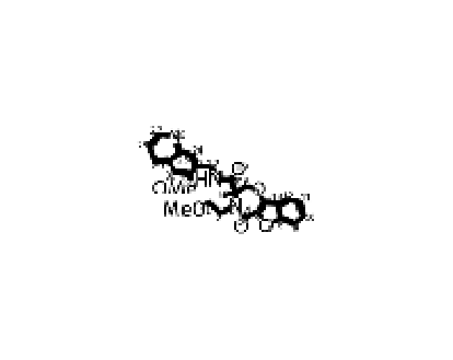 COCCN1C(=O)c2oc3ccccc3c2OCC1(C)C(=O)NCc1cc2ncccc2cc1OC